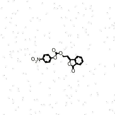 O=C(OCC=C1OC(=O)c2ccccc21)Oc1ccc([N+](=O)[O-])cc1